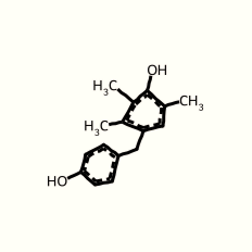 Cc1cc(Cc2ccc(O)cc2)c(C)c(C)c1O